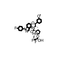 COc1cccc([C@@H](Oc2ccc3c(cnn3-c3ccc(F)cc3)c2)[C@H](C)NC(=O)[C@H]2CCCN2)c1.O=C(O)C(F)(F)F